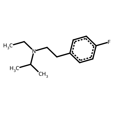 CCN(CCc1ccc(F)cc1)C(C)C